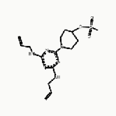 C=CCNc1nc(NCC=C)nc(N2CCC(OS(C)(=O)=O)CC2)n1